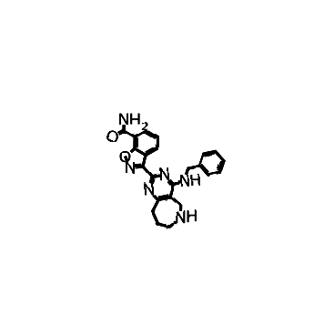 NC(=O)c1cccc2c(-c3nc4c(c(NCc5ccccc5)n3)CNCCC4)noc12